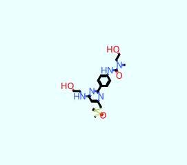 C=S(C)(=O)Cc1cc(NCCO)nc(-c2ccc(NC(=O)N(C)CCO)cc2)n1